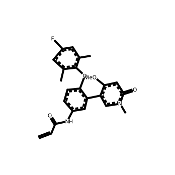 C=CC(=O)Nc1ccc(Oc2c(C)cc(F)cc2C)c(-c2cn(C)c(=O)cc2OC)c1